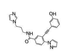 O=C(NCCCn1ccnc1)c1ccc(-n2cccn2)c(C#Cc2cccc(O)c2)c1